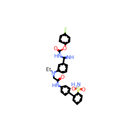 CCN(CC(=O)Nc1ccc(-c2ccccc2S(N)(=O)=O)cc1)c1cccc(C(=N)NC(=O)Oc2ccc(F)cc2)c1